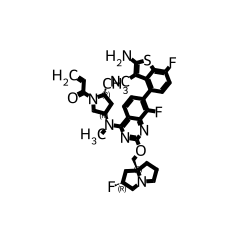 C=CC(=O)N1C[C@H](N(C)c2nc(OC[C@@]34CCCN3C[C@H](F)C4)nc3c(F)c(-c4ccc(F)c5sc(N)c(C#N)c45)ccc23)C[C@H]1C